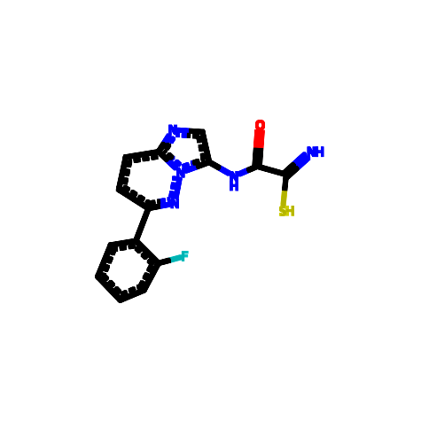 N=C(S)C(=O)Nc1cnc2ccc(-c3ccccc3F)nn12